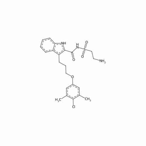 Cc1cc(OCCCc2c(C(=O)NS(=O)(=O)CCN)[nH]c3ccccc23)cc(C)c1Cl